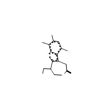 CCOC(=O)CC1CNC(=O)Cc2c1[nH]c1c(Cl)c(Cl)cc(Br)c21